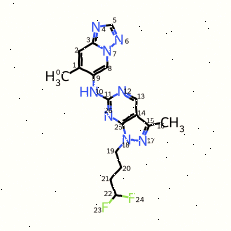 Cc1cc2ncnn2cc1Nc1ncc2c(C)nn(CCCC(F)F)c2n1